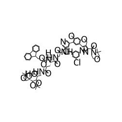 COc1cc2c(cc1-c1cncc(NC(=O)CNC(=O)[C@H](CCC(=O)NC[C@H](O)[C@H]3OC(C)(C)OC3[C@H]3COC(C)(C)O3)NC(=O)OCC3c4ccccc4-c4ccccc43)c1)-c1c(c(C(=O)N3CCOCC3(C)C)nn1-c1cc(Cl)cc(Cl)c1)CO2